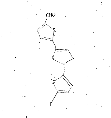 O=Cc1ccc(C2=CCC(c3ccc(I)s3)S2)s1